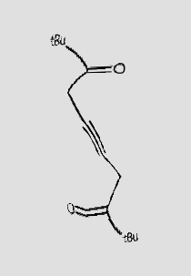 CC(C)(C)C(=O)CC#CCC(=O)C(C)(C)C